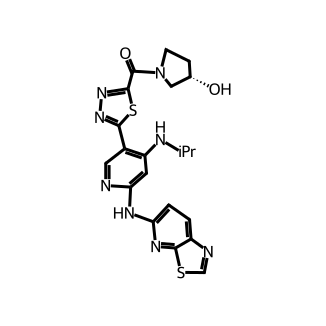 CC(C)Nc1cc(Nc2ccc3ncsc3n2)ncc1-c1nnc(C(=O)N2CC[C@H](O)C2)s1